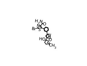 CN1CCC(O)(c2cc(-c3cccc(-c4sc(Br)nc4C(N)=O)c3)no2)C1=O